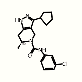 C[C@H]1Cc2[nH]nc(C3CCCC3)c2CN1C(=O)Nc1cccc(Cl)c1